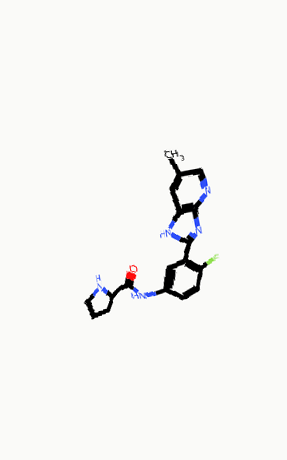 Cc1cnc2nc(-c3cc(NC(=O)C4CCCN4)ccc3F)[nH]c2c1